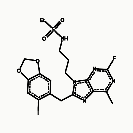 CCS(=O)(=O)NCCCn1c(Cc2cc3c(cc2I)OCO3)nc2c(C)nc(F)nc21